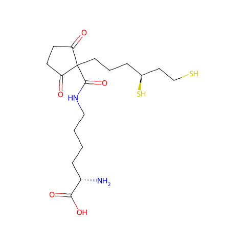 N[C@@H](CCCCNC(=O)C1(CCC[C@H](S)CCS)C(=O)CCC1=O)C(=O)O